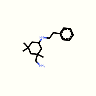 CC1(C)CC(NCCc2ccccc2)CC(C)(CN)C1